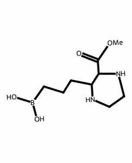 COC(=O)C1NCCNC1CCCB(O)O